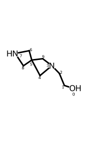 OCCN1CC2(CNC2)C1